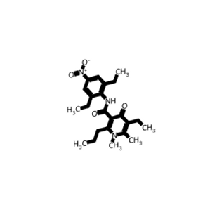 CCCc1c(C(=O)Nc2c(CC)cc([N+](=O)[O-])cc2CC)c(=O)c(CC)c(C)n1C